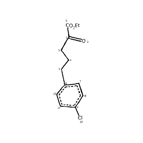 CCOC(=O)C(=O)CCCc1ccc(Cl)cc1